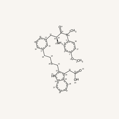 COc1ccc(N(C)C(=O)[C@@H](N)Cc2cccc(CCSCc3[nH]c4ccccc4c3CC(=O)O)c2)cc1